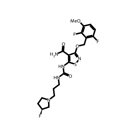 COc1ccc(F)c(COc2nsc(NC(=O)NCCCN3CC[C@H](F)C3)c2C(N)=O)c1F